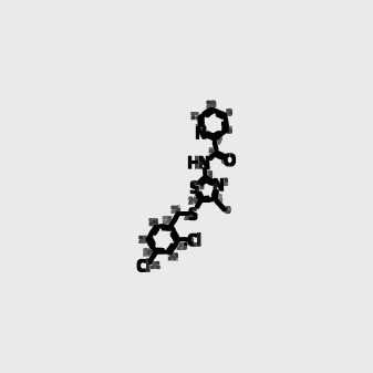 Cc1nc(NC(=O)c2ccccn2)sc1SCc1ccc(Cl)cc1Cl